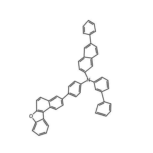 c1ccc(-c2cccc(N(c3ccc(-c4ccc5c(ccc6oc7ccccc7c65)c4)cc3)c3ccc4cc(-c5ccccc5)ccc4c3)c2)cc1